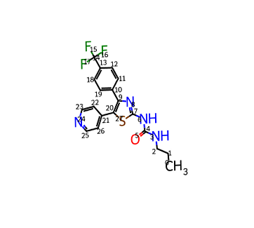 CCCNC(=O)Nc1nc(-c2ccc(C(F)(F)F)cc2)c(-c2ccncc2)s1